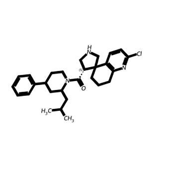 CC(C)CC1CC(c2ccccc2)CCN1C(=O)[C@@H]1CNCC12CCCc1nc(Cl)ccc12